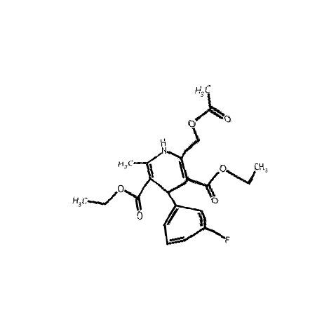 CCOC(=O)C1=C(C)NC(COC(C)=O)=C(C(=O)OCC)C1c1cccc(F)c1